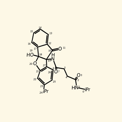 CC(C)NC(=O)CCC(=O)NC12C(=O)c3ccccc3C1(O)Oc1cc(C(C)C)ccc12